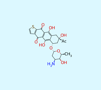 CC(=O)[C@]1(O)Cc2c(O)c3c(c(O)c2[C@@H](O[C@H]2C[C@H](N)[C@H](O)[C@H](C)O2)C1)C(=O)c1ccsc1C3=O